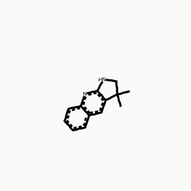 CC1(C)CNc2nc3c[c]ccc3cc21